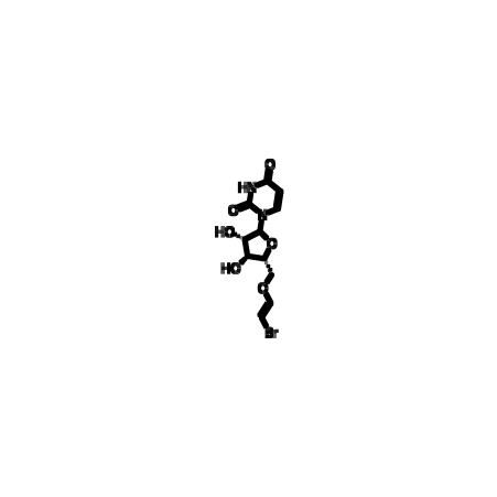 O=c1ccn(C2O[C@H](CO/C=C/Br)[C@@H](O)[C@@H]2O)c(=O)[nH]1